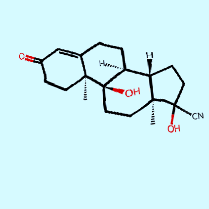 C[C@]12CC[C@@]3(O)[C@@H](CCC4=CC(=O)CC[C@@]43C)[C@@H]1CCC2(O)C#N